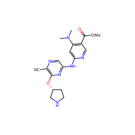 COC(=O)c1cnc(Nc2cnc(C#N)c(O[C@@H]3CCNC3)n2)cc1N(C)C